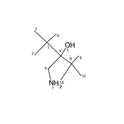 CC(C)(C)C(O)(CN)C(C)(C)C